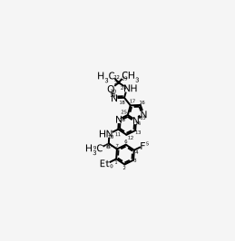 CCc1ccc(F)cc1[C@@H](C)Nc1ccn2ncc(C3=NOC(C)(C)N3)c2n1